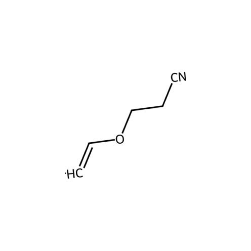 [CH]=COCCC#N